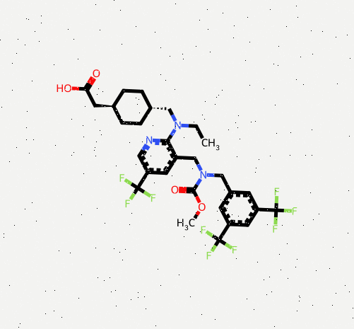 CCN(C[C@H]1CC[C@H](CC(=O)O)CC1)c1ncc(C(F)(F)F)cc1CN(Cc1cc(C(F)(F)F)cc(C(F)(F)F)c1)C(=O)OC